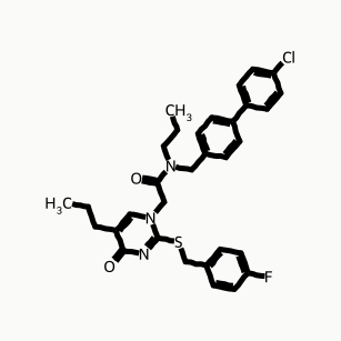 CCCc1cn(CC(=O)N(CCC)Cc2ccc(-c3ccc(Cl)cc3)cc2)c(SCc2ccc(F)cc2)nc1=O